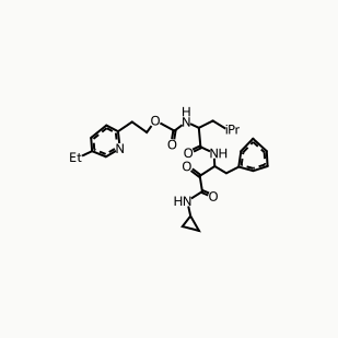 CCc1ccc(CCOC(=O)NC(CC(C)C)C(=O)NC(Cc2ccccc2)C(=O)C(=O)NC2CC2)nc1